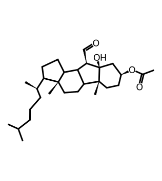 CC(=O)O[C@H]1CC[C@]2(C)C3CC[C@@]4(C)C(CCC4[C@H](C)CCCC(C)C)C3[C@@H](C=O)[C@]2(O)C1